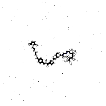 CO[C@H]([C@@H](C)[C@H]1O[C@]1(C)C[C@H](C)/C=C/C=C(\C)[C@@H]1OCC[C@H](CC(=O)N2CCC(C(=O)NCc3ccc(COCCOCCN4C(=O)C=CC4=O)cc3)C2)O1)[C@@H](C)O